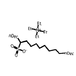 CCCCCCCCCCCCCCCCCCC(CCCCCCCCCC)S(=O)(=O)[O-].CC[N+](CC)(CC)CC